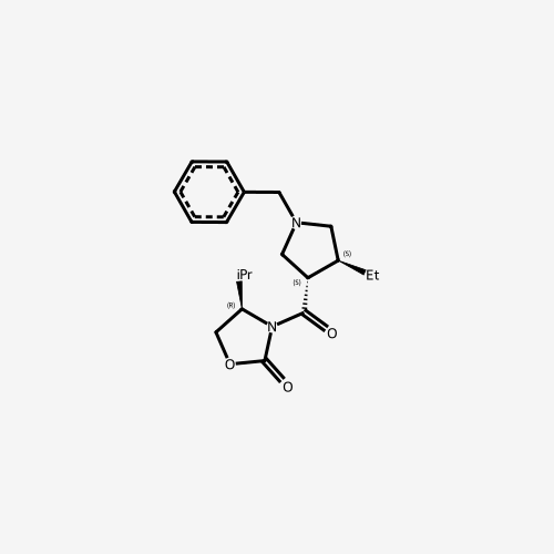 CC[C@@H]1CN(Cc2ccccc2)C[C@H]1C(=O)N1C(=O)OC[C@H]1C(C)C